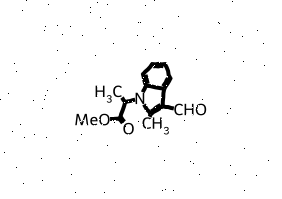 COC(=O)C(C)n1c(C)c(C=O)c2ccccc21